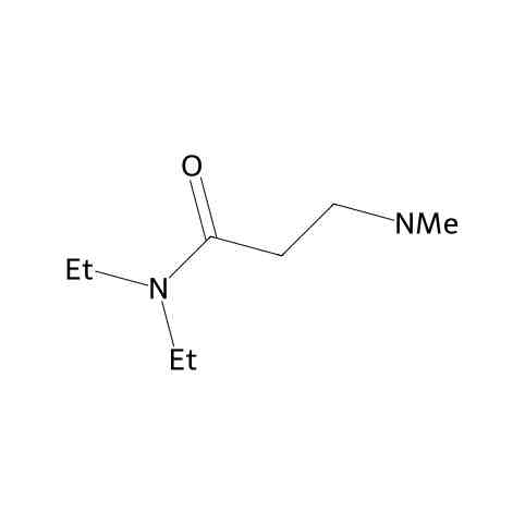 CCN(CC)C(=O)CCNC